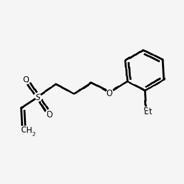 C=CS(=O)(=O)CCCOc1ccccc1CC